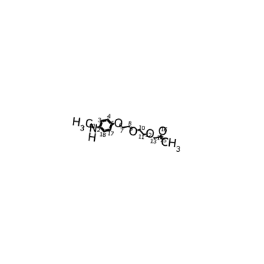 CNc1ccc(OCCOCCOCC(C)=O)cc1